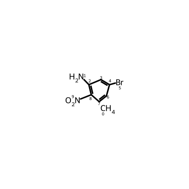 C.Nc1cc(Br)ccc1[N+](=O)[O-]